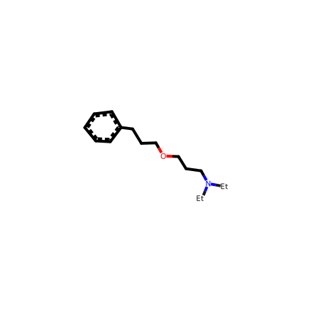 CCN(CC)CCCOCCCc1ccccc1